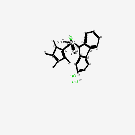 CC[CH2][Zr](=[SiH2])([Cl])([C]1=C(C)C(C)=C(C)C1C)[CH]1c2ccccc2-c2ccccc21.Cl.Cl